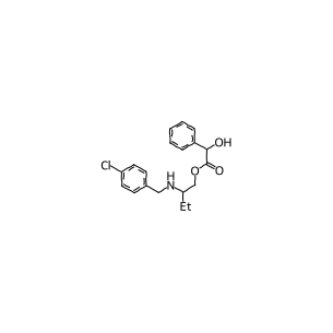 CCC(COC(=O)C(O)c1ccccc1)NCc1ccc(Cl)cc1